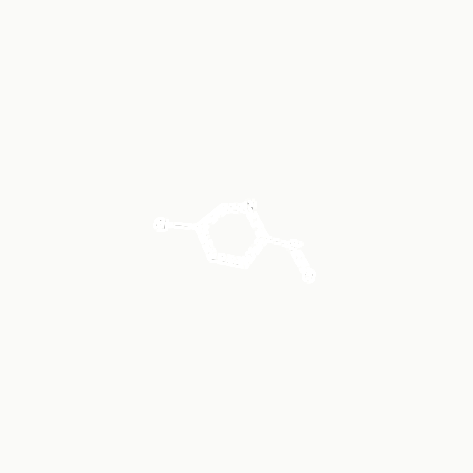 O=[S+]c1ccc(Cl)cn1